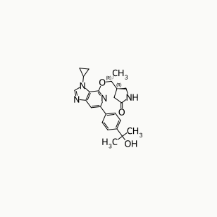 C[C@@H](Oc1nc(-c2ccc(C(C)(C)O)cc2)cc2ncn(C3CC3)c12)[C@H]1CNC(=O)C1